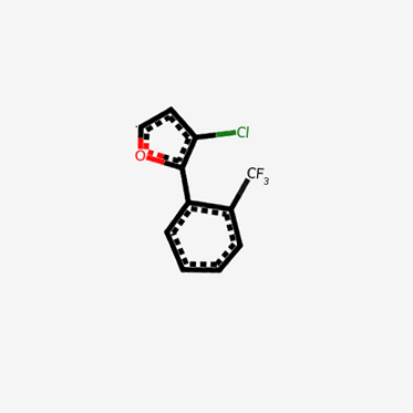 FC(F)(F)c1ccccc1-c1o[c]cc1Cl